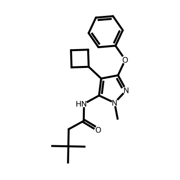 Cn1nc(Oc2ccccc2)c(C2CCC2)c1NC(=O)CC(C)(C)C